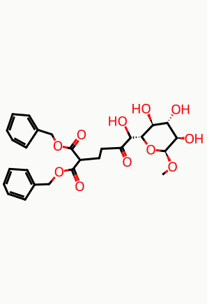 CO[C@H]1O[C@H](C(O)C(=O)CCC(C(=O)OCc2ccccc2)C(=O)OCc2ccccc2)[C@@H](O)[C@H](O)[C@H]1O